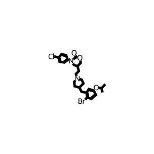 CC(C)Oc1ccc(Br)c(CC2CCN(CCC3COC(=O)N(c4ccc(Cl)cc4)C3)CC2)c1